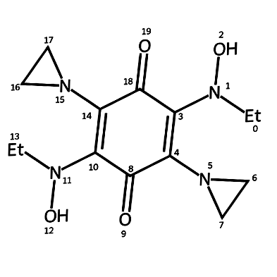 CCN(O)C1=C(N2CC2)C(=O)C(N(O)CC)=C(N2CC2)C1=O